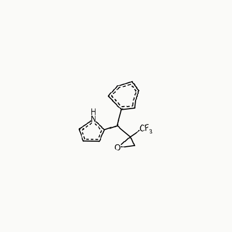 FC(F)(F)C1(C(c2ccccc2)c2ccc[nH]2)CO1